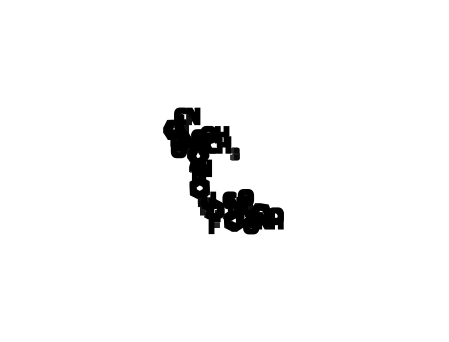 Cn1c(=O)n(C2CCC(=O)NC2=O)c2cccc([C@H]3CCN(C[C@H]4CC[C@H](n5cc6cc(NC(=O)c7cccc(C#N)n7)c(C(C)(C)O)cc6n5)CC4)C[C@@H]3F)c21